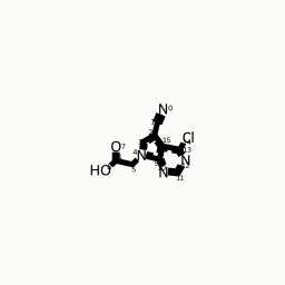 N#Cc1cn(CC(=O)O)c2ncnc(Cl)c12